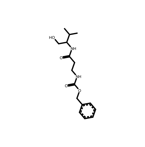 CC(C)C(CO)NC(=O)CCNC(=O)OCc1ccccc1